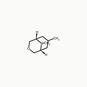 CC1C[C@H]2COC[C@@H](C1)N2C